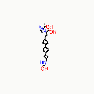 C[C@H](O)c1nccn1C(/C=C/c1ccc(-c2ccc(C3CC(CNCCO)C3)cc2)cc1)CO